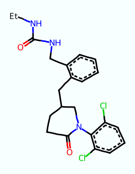 CCNC(=O)NCc1ccccc1CC1CCC(=O)N(c2c(Cl)cccc2Cl)C1